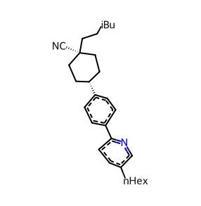 CCCCCCc1ccc(-c2ccc([C@H]3CC[C@](C#N)(CCC(C)CC)CC3)cc2)nc1